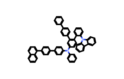 c1ccc(-c2ccc(-c3cc(N(c4ccccc4)c4ccc(-c5ccc(-c6cccc7ccccc67)cc5)cc4)ccc3-c3ccccc3-n3c4ccccc4c4ccccc43)cc2)cc1